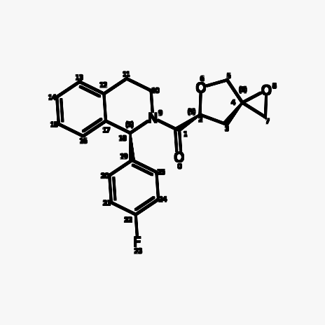 O=C([C@@H]1C[C@]2(CO1)CO2)N1CCc2ccccc2[C@@H]1c1ccc(F)cc1